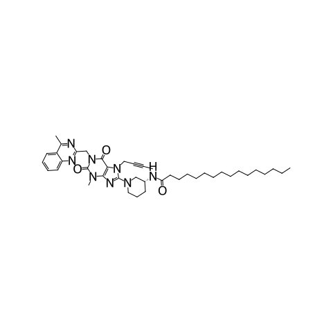 CC#CCn1c(N2CCC[C@@H](NC(=O)CCCCCCCCCCCCCCC)C2)nc2c1c(=O)n(Cc1nc(C)c3ccccc3n1)c(=O)n2C